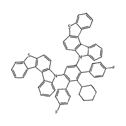 Fc1ccc(-c2c(-n3c4ccccc4c4c5c(ccc43)sc3ccccc35)cc(-n3c4ccccc4c4c5c(ccc43)sc3ccccc35)c(-c3ccc(F)cc3)c2C2CCCCC2)cc1